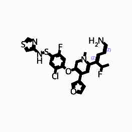 CC(F)/C(=C\C=C/N)C1=CC(c2ccoc2)=C(Oc2cc(F)c(SNc3cscn3)cc2Cl)CN1C